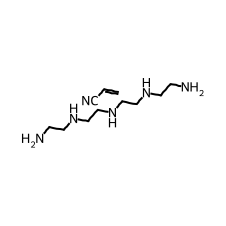 C=CC#N.NCCNCCNCCNCCN